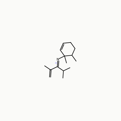 C=C(C)/C(=N/C1(C)C=CCCC1C)C(C)C